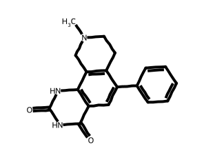 CN1CCc2c(-c3ccccc3)cc3c(=O)[nH]c(=O)[nH]c3c2C1